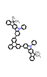 CC1(C)c2ccccc2-c2cc3c4c(n(-c5ccccc5)c3cc21)C=CC(c1ccc2c3ccccc3c3ccc(-c5ccc6c(c5)c5cc7c(cc5n6-c5ccccc5)C(C)(C)c5ccccc5-7)cc3c2c1)C4